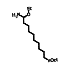 CCCCCCCCCCCCCCCCC[C](N)OCC